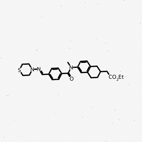 CCOC(=O)CC1CCc2cc(N(C)C(=O)c3ccc(C=NN4CCSCC4)cc3)ccc2C1